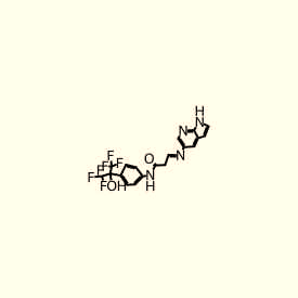 O=C(C/C=N/c1cnc2[nH]ccc2c1)Nc1ccc(C(O)(C(F)(F)F)C(F)(F)F)cc1